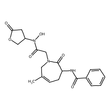 CC1=CCC(NC(=O)c2ccccc2)C(=O)N(CC(=O)N(O)C2COC(=O)C2)C1